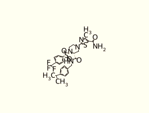 Cc1nc(N2CCN(S(=O)(=O)c3ccc(C(F)(F)F)cc3)[C@@H](C(=O)NCc3ccc(C(C)C)cc3)C2)sc1C(N)=O